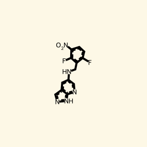 O=[N+]([O-])c1ccc(F)c(CNc2cnc3[nH]ncc3c2)c1F